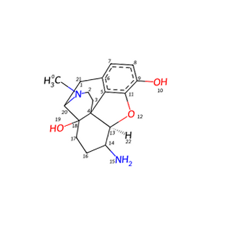 CN1CCC23c4c5ccc(O)c4O[C@H]2C(N)CCC3(O)C1C5